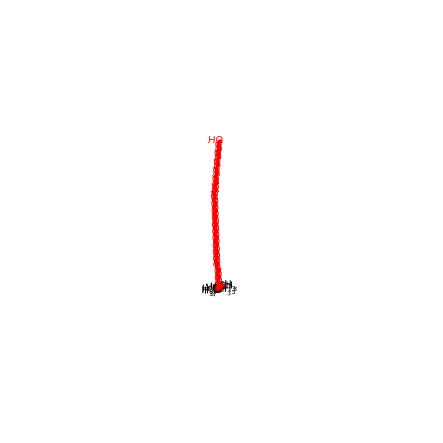 C[Si](C)(C)O[Si](C)(C)O[Si](C)(CCCOCCOCCOCCOCCOCCOCCOCCOCCOCCOCCOCCOCCOCCOCCOCCOCCOCCOCCOCCOCCOCCOCCOCCOCCOCCOCCOCCOCCOCCOCCOCCCOCCCOCCCOCCCOCCCOCCCOCCCOCCCOCCCOCCCO)O[Si](C)(C)C